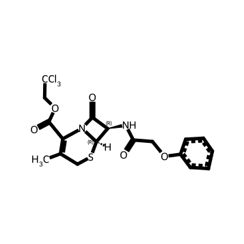 CC1=C(C(=O)OCC(Cl)(Cl)Cl)N2C(=O)[C@@H](NC(=O)COc3ccccc3)[C@H]2SC1